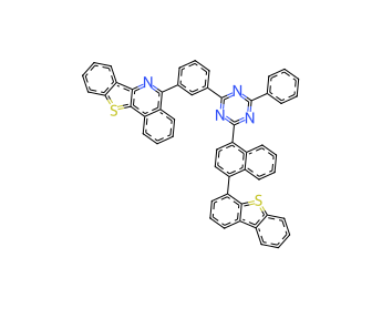 c1ccc(-c2nc(-c3cccc(-c4nc5c6ccccc6sc5c5ccccc45)c3)nc(-c3ccc(-c4cccc5c4sc4ccccc45)c4ccccc34)n2)cc1